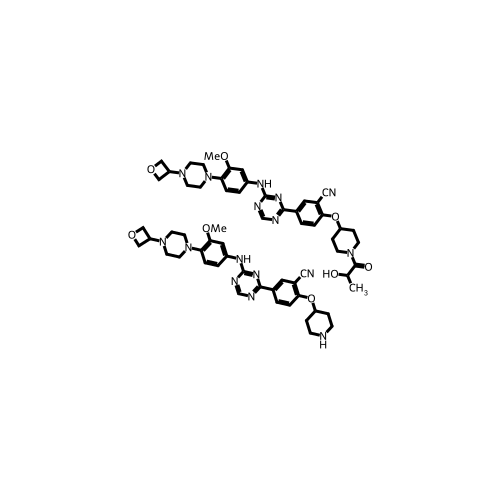 COc1cc(Nc2ncnc(-c3ccc(OC4CCN(C(=O)C(C)O)CC4)c(C#N)c3)n2)ccc1N1CCN(C2COC2)CC1.COc1cc(Nc2ncnc(-c3ccc(OC4CCNCC4)c(C#N)c3)n2)ccc1N1CCN(C2COC2)CC1